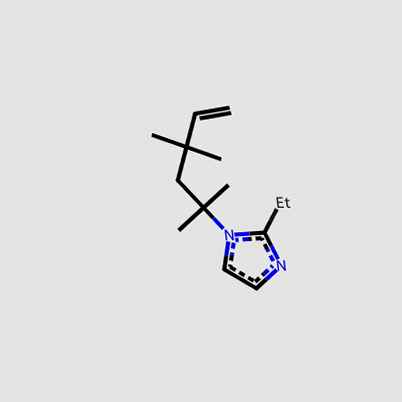 C=CC(C)(C)CC(C)(C)n1ccnc1CC